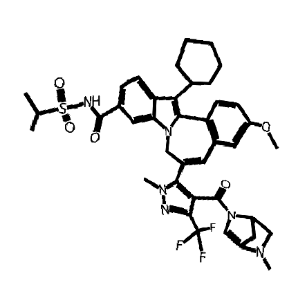 COc1ccc2c(c1)C=C(c1c(C(=O)N3C=C4CC3CN4C)c(C(F)(F)F)nn1C)Cn1c-2c(C2CCCCC2)c2ccc(C(=O)NS(=O)(=O)C(C)C)cc21